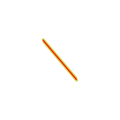 S=S=S=S=S=S=S=S=S=S=S=S=S=S=S=S=S=S=S=S=S=S=S=S=S=S=S=S=S=S=S=S=S=S=S=S=S=S=S=S=S=S=S=S=S=S=S=S=S=S=S=S=S=S=S=S=S=S=S=S=S=S=S=S=S=S=S=S=S=S=S=S=S=S=S=S=S=S=S=S=S=S=S=S=S=S=S=S=S=S=S=S=S=S=S=S=S=S=S=S=S=S=S=S=S=S=S=S=S=S=S=S=S=S=S=S=S=S